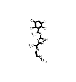 C=N/C=C\N=C(/C)C1=NNC(SC(C)c2c(Cl)c(Cl)cc(Cl)c2Cl)S1